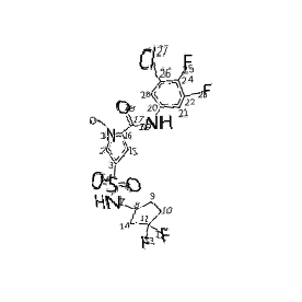 Cn1cc(S(=O)(=O)NC2CCC(F)(F)C2)cc1C(=O)Nc1cc(F)c(F)c(Cl)c1